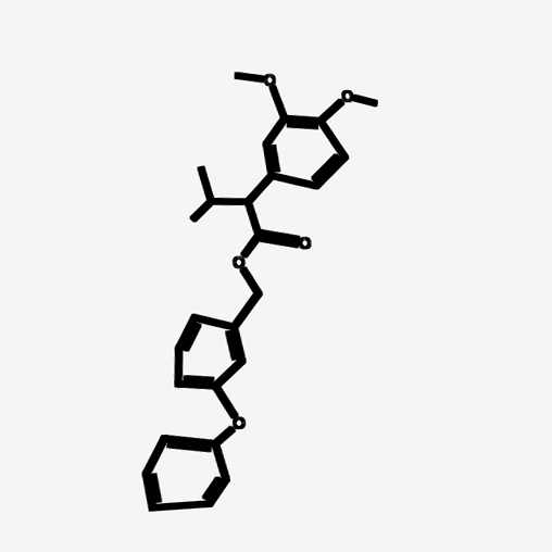 COc1ccc(C(C(=O)OCc2cccc(Oc3ccccc3)c2)C(C)C)cc1OC